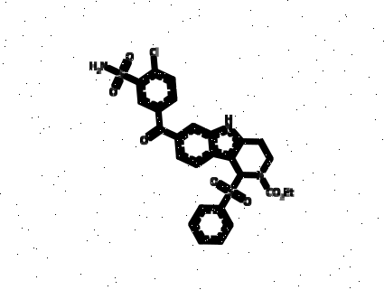 CCOC(=O)N1CCc2[nH]c3cc(C(=O)c4ccc(Cl)c(S(N)(=O)=O)c4)ccc3c2C1S(=O)(=O)c1ccccc1